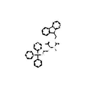 CN(C(=O)OCC1c2ccccc2-c2ccccc21)[C@@H](CC(=O)NC(c1ccccc1)(c1ccccc1)c1ccccc1)C(=O)O